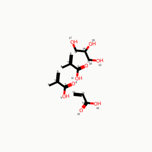 C=C(C)C(=O)O.C=C(C)C(=O)O.C=CC(=O)O.OCC(O)CO